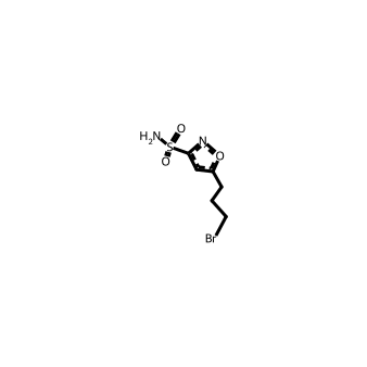 NS(=O)(=O)c1cc(CCCBr)on1